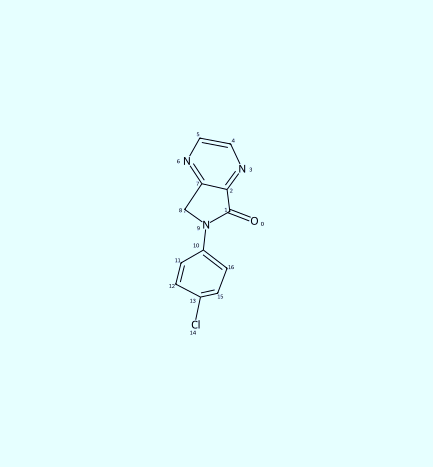 O=C1c2nccnc2[CH]N1c1ccc(Cl)cc1